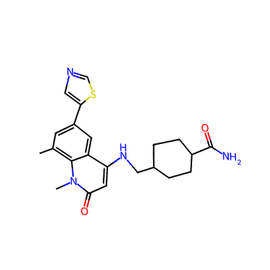 Cc1cc(-c2cncs2)cc2c(NCC3CCC(C(N)=O)CC3)cc(=O)n(C)c12